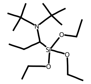 CCO[Si](OCC)(OCC)C(CC)N(C(C)(C)C)C(C)(C)C